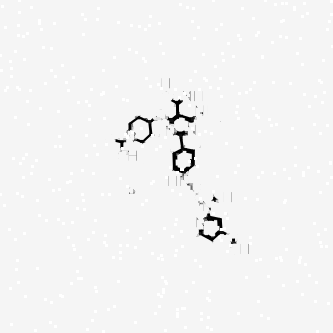 COc1ccnc(N(C)SONc2ccc(-c3nc(N)c(C(C)=N)c(OC4CCN(C(C)C)CC4)n3)cc2)c1.S